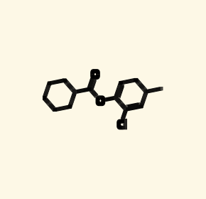 CC1C=C(Cl)C(OC(=O)C2CCCCC2)=CC1